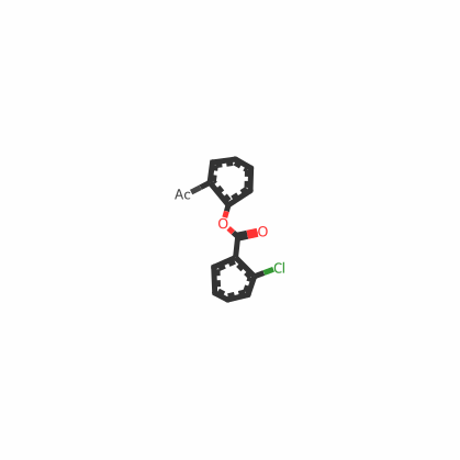 CC(=O)c1ccccc1OC(=O)c1ccccc1Cl